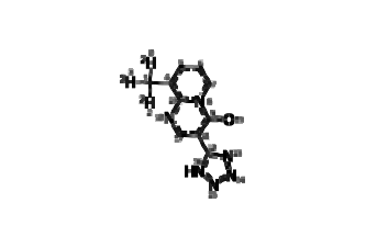 [2H]C([2H])([2H])c1cccn2c(=O)c(-c3nnn[nH]3)cnc12